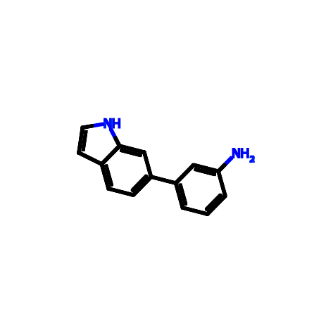 Nc1cccc(-c2ccc3cc[nH]c3c2)c1